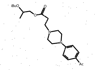 CC(=O)c1ccc(N2CCN(CCC(=O)OCC(C)OCC(C)C)CC2)cc1